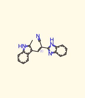 Cc1[nH]c2ccccc2c1/C=C(\C#N)c1nc2ccccc2[nH]1